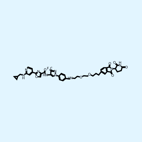 O=C1CCC(N2C(=O)c3ccc(CCCOCCOCCNCc4ccc(-n5cc(NC(=O)c6coc(-c7ccnc(NCC8CC8)c7)n6)c(C(F)(F)F)n5)cc4)cc3C2=O)C(=O)N1